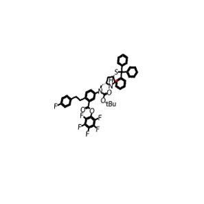 CC(C)(C)OC(=O)N(C[C@@H]1C[C@H](SC(c2ccccc2)(c2ccccc2)c2ccccc2)CN1)c1ccc(CCc2ccc(F)cc2)c(C(=O)Oc2c(F)c(F)c(F)c(F)c2F)c1